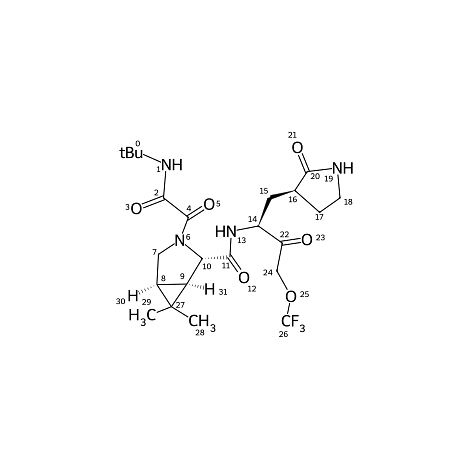 CC(C)(C)NC(=O)C(=O)N1C[C@H]2[C@@H]([C@H]1C(=O)N[C@@H](C[C@@H]1CCNC1=O)C(=O)COC(F)(F)F)C2(C)C